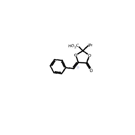 CC(C)C1(C(=O)O)OC(=O)/C(=C/c2ccccc2)O1